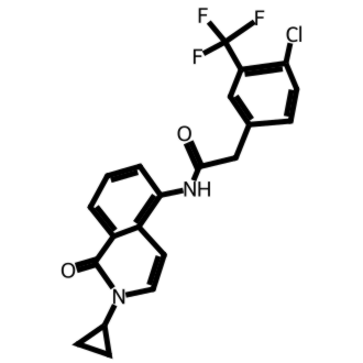 O=C(Cc1ccc(Cl)c(C(F)(F)F)c1)Nc1cccc2c(=O)n(C3CC3)ccc12